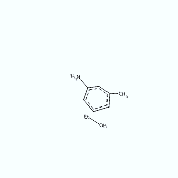 CCO.Cc1cccc(N)c1